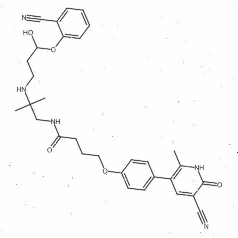 Cc1[nH]c(=O)c(C#N)cc1-c1ccc(OCCCC(=O)NCC(C)(C)NCCC(O)Oc2ccccc2C#N)cc1